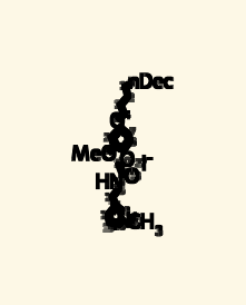 CCCCCCCCCCCCCCOc1ccc(OCC(=O)NCCc2ccc[n+](C)c2)c(OC)c1.[I-]